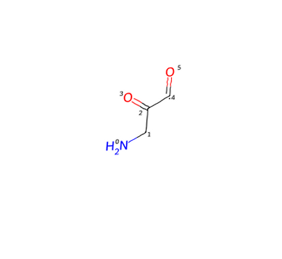 NCC(=O)[C]=O